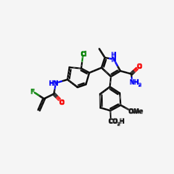 C=C(F)C(=O)Nc1ccc(-c2c(C)[nH]c(C(N)=O)c2-c2ccc(C(=O)O)c(OC)c2)c(Cl)c1